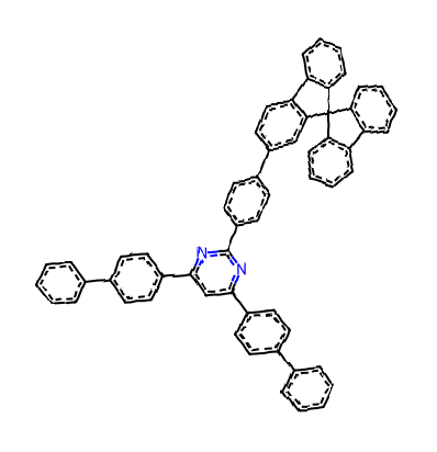 c1ccc(-c2ccc(-c3cc(-c4ccc(-c5ccccc5)cc4)nc(-c4ccc(-c5ccc6c(c5)C5(c7ccccc7-c7ccccc75)c5ccccc5-6)cc4)n3)cc2)cc1